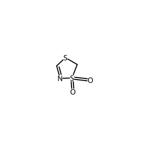 O=S1(=O)CSC=N1